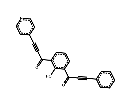 O=C(C#Cc1ccccc1)c1cccc(C(=O)C#Cc2ccncc2)c1O